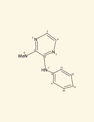 CNc1nccnc1Nc1ccccc1